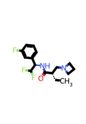 CC[C@@H](CN1CCC1)C(=O)N[C@H](c1cccc(F)c1)C(F)F